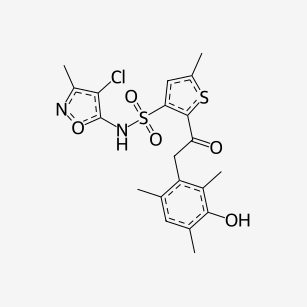 Cc1cc(S(=O)(=O)Nc2onc(C)c2Cl)c(C(=O)Cc2c(C)cc(C)c(O)c2C)s1